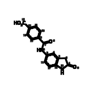 O=C1Cc2cc(NC(=O)c3ccc(C(=O)O)cc3)ccc2N1